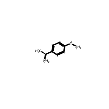 BOc1ccc([C@H](C)N)cc1